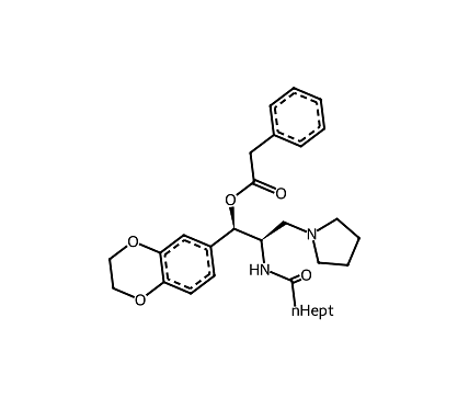 CCCCCCCC(=O)N[C@H](CN1CCCC1)[C@H](OC(=O)Cc1ccccc1)c1ccc2c(c1)OCCO2